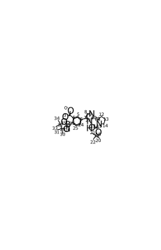 COC(=O)c1cc(-c2cnc([C@@H]3CCCN3C(=O)OC(C)(C)C)[nH]2)ccc1B1OC(C)(C)C(C)(C)O1